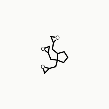 C1C[C](CC2CO2)C(CC2CO2)(CC2CO2)C1